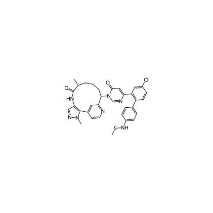 CSNc1ccc(-c2ccc(Cl)cc2-c2cc(=O)n(C3CCCC(C)C(=O)Nc4cnn(C)c4-c4ccnc3c4)cn2)cc1